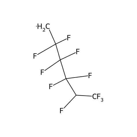 [CH2]C(F)(F)C(F)(F)C(F)(F)C(F)C(F)(F)F